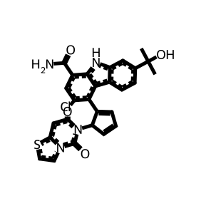 CC(C)(O)c1ccc2c(c1)[nH]c1c(C(N)=O)cc(Cl)c(C3=CC=CC3n3c(=O)cc4sccn4c3=O)c12